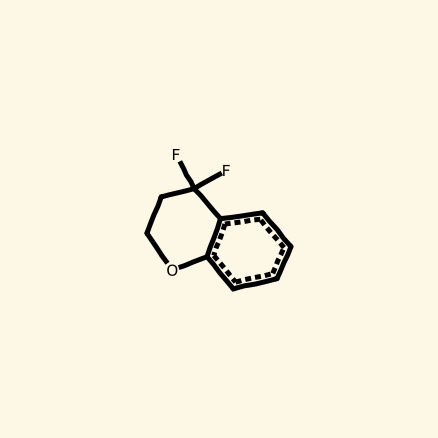 FC1(F)CCOc2ccccc21